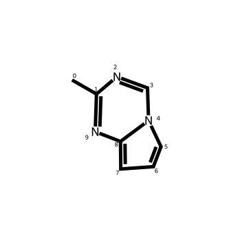 Cc1ncn2cccc2n1